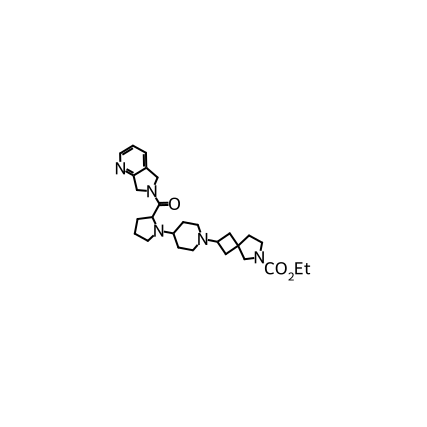 CCOC(=O)N1CCC2(CC(N3CCC(N4CCCC4C(=O)N4Cc5cccnc5C4)CC3)C2)C1